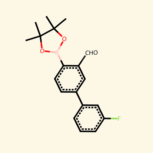 CC1(C)OB(c2ccc(-c3cccc(F)c3)cc2C=O)OC1(C)C